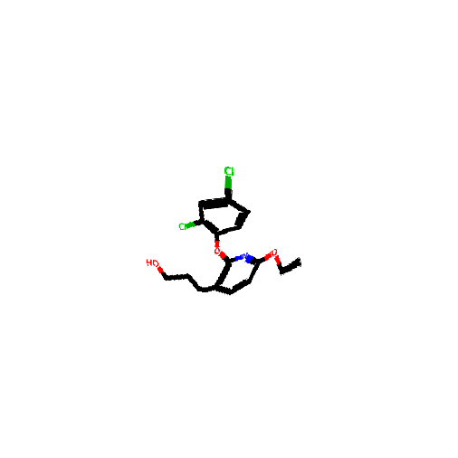 CCOc1ccc(CCCO)c(Oc2ccc(Cl)cc2Cl)n1